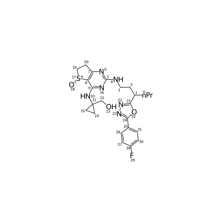 CCCC(CCNc1nc2c(c(NC3(CO)CC3)n1)[S+]([O-])CC2)c1nnc(-c2ccc(F)cc2)o1